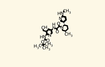 CCc1cc(NC(=O)C(=O)N2C[C@H](C)CC[C@H]2c2ccc(NC)nc2)cnc1NC(=O)OC(C)(C)C